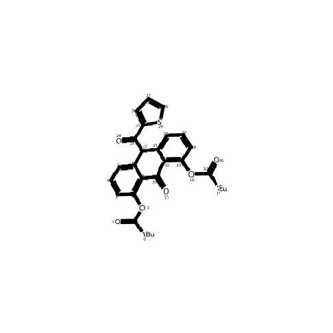 CC(C)(C)C(=O)Oc1cccc2c1C(=O)c1c(OC(=O)C(C)(C)C)cccc1C2C(=O)c1cccs1